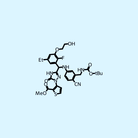 CCc1cc(OCCO)c(F)c(C(Nc2ccc(C#N)c(CNC(=O)OC(C)(C)C)c2)c2nn(-c3ccsc3C(=O)OC)c(=O)[nH]2)c1